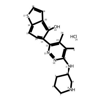 Cc1c(N[C@@H]2CCCNC2)nnc(-c2ccc3sccc3c2O)c1C.Cl